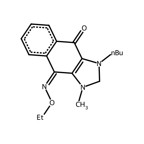 CCCCN1CN(C)C2=C1C(=O)c1ccccc1/C2=N/OCC